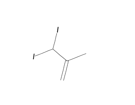 C=C(C)C(I)I